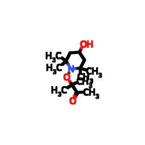 CC(=O)C(C)(C)ON1C(C)(C)CC(O)CC1(C)C